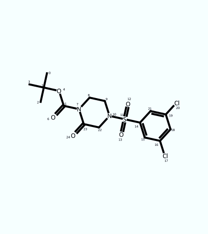 CC(C)(C)OC(=O)N1CCN(S(=O)(=O)c2cc(Cl)cc(Cl)c2)CC1=O